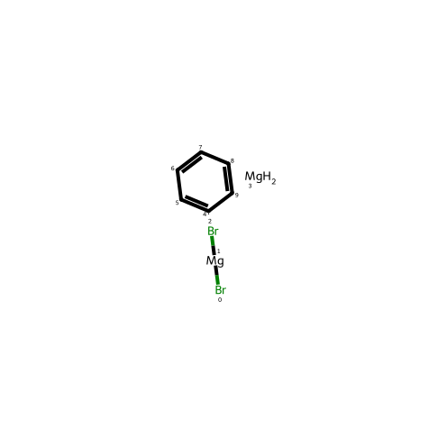 [Br][Mg][Br].[MgH2].[c]1ccccc1